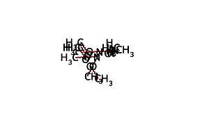 CCCCCCCCC(CCCCCC)C(=O)OCCCCCCN(CCCCCCOC(=O)C(CCCCCC)CCCCCCCC)CCCN(CCCCCCOC(=O)C(CCCCCC)CCCCCCCC)CCCCCC(=O)Nc1nc2ccccc2c2c1ncn2CC(C)C